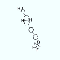 CCCC1CC[C@@H]2C[C@H](c3ccc(-c4ccc(OC(F)(F)C(F)F)cc4)cc3)CC[C@@H]2C1